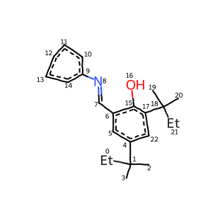 CCC(C)(C)c1cc(/C=N/c2ccccc2)c(O)c(C(C)(C)CC)c1